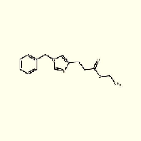 CCOC(=O)CCc1cn(Cc2ccccc2)cn1